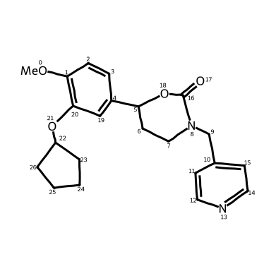 COc1ccc(C2CCN(Cc3ccncc3)C(=O)O2)cc1OC1CCCC1